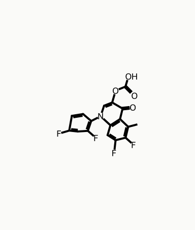 Cc1c(F)c(F)cc2c1c(=O)c(OC(=O)O)cn2-c1ccc(F)cc1F